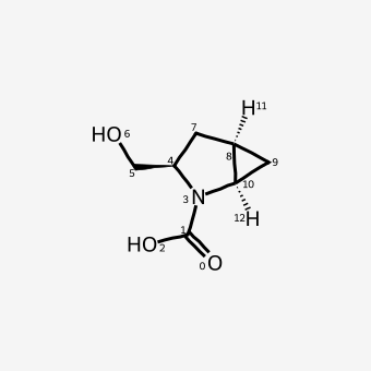 O=C(O)N1[C@@H](CO)C[C@H]2C[C@H]21